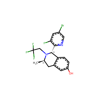 C[C@@H]1Cc2cc(O)ccc2[C@@H](c2ncc(Br)cc2F)N1CC(F)(F)F